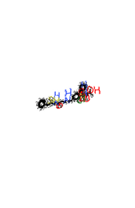 C[C@H](O)C(=O)NS(=O)(=O)C1(Cl)CC(CNCCC(=O)NC[C@H](S)Cc2ccccc2)=CC=C1c1ccccc1